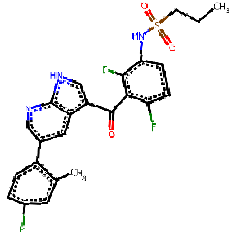 CCCS(=O)(=O)Nc1ccc(F)c(C(=O)c2c[nH]c3ncc(-c4ccc(F)cc4C)cc23)c1F